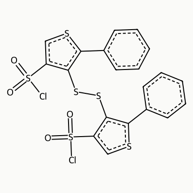 O=S(=O)(Cl)c1csc(-c2ccccc2)c1SSc1c(S(=O)(=O)Cl)csc1-c1ccccc1